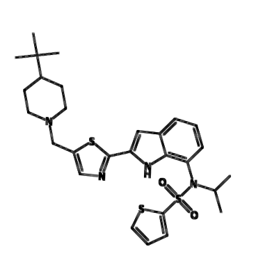 CC(C)N(c1cccc2cc(-c3ncc(CN4CCC(C(C)(C)C)CC4)s3)[nH]c12)S(=O)(=O)c1cccs1